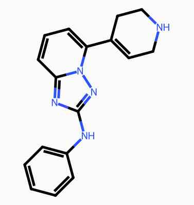 C1=C(c2cccc3nc(Nc4ccccc4)nn23)CCNC1